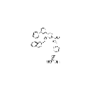 O=C(OCc1ccc(CON(O)O)cc1)N1CC[C@H](c2cccc(-c3ccccc3)c2)[C@@H](OCc2ccc3ccccc3c2)C1